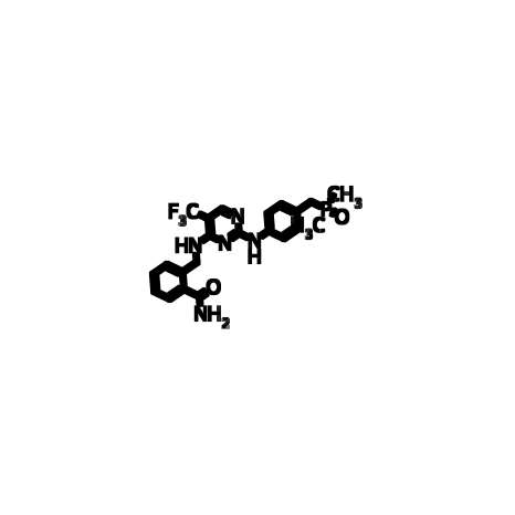 CP(C)(=O)Cc1ccc(Nc2ncc(C(F)(F)F)c(NCc3ccccc3C(N)=O)n2)cc1